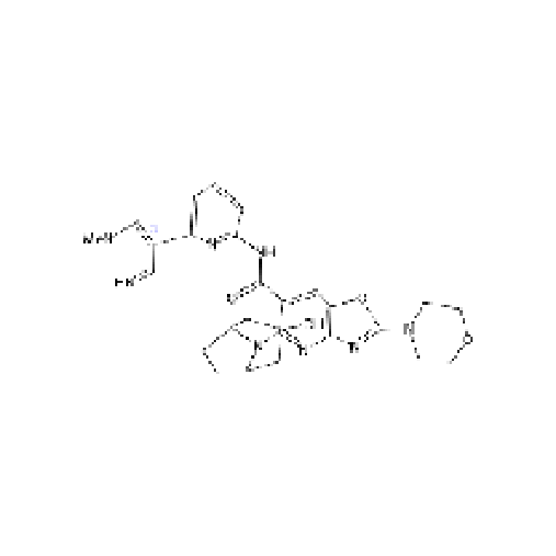 CN/C=C(\C=N)c1cccc(NC(=O)c2cc3oc(N4CCOCC4)nc3nc2N2C3CCC2CC(O)C3)n1